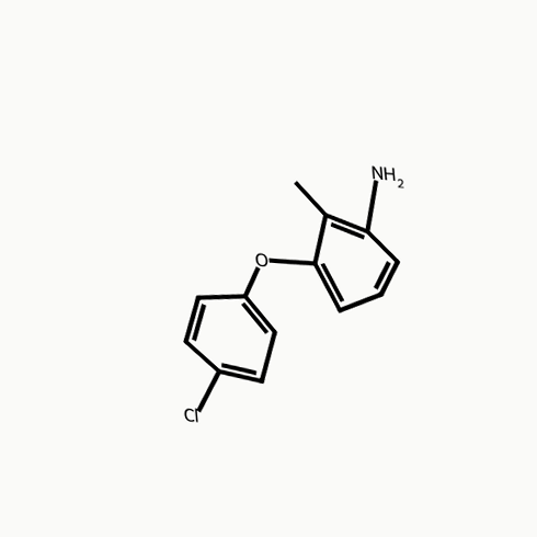 Cc1c(N)cccc1Oc1ccc(Cl)cc1